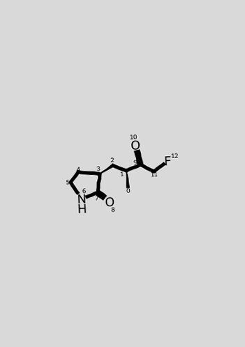 C[C@@H](C[C@@H]1CCNC1=O)C(=O)CF